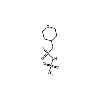 O=S(=O)(NS(=O)(=O)C(F)(F)F)OC1CCOCC1